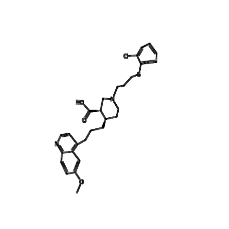 COc1ccc2nccc(CCC[C@@H]3CCN(CCCSc4ccccc4Cl)C[C@@H]3C(=O)O)c2c1